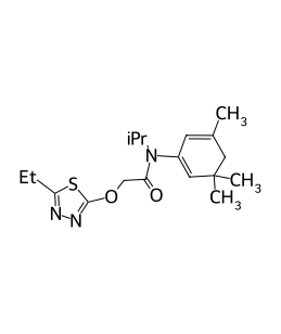 CCc1nnc(OCC(=O)N(C2=CC(C)(C)CC(C)=C2)C(C)C)s1